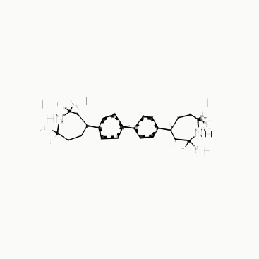 CC1(C)CCC(c2ccc(-c3ccc(C4CCC(C)(C)NC(C)(C)C4)cc3)cc2)CC(C)(C)N1